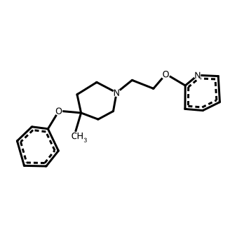 CC1(Oc2ccccc2)CCN(CCOc2ccccn2)CC1